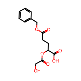 O=C(CCC(OC(=O)CO)C(=O)O)OCc1ccccc1